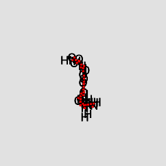 C[C@@H](NC(=O)c1cccc(NC2(C(=N)NC(=N)c3ccncc3)CCNCC2)c1)c1ccc(OCCCCCCOCCOCCOCCC(=O)N2CCN(c3ccc4c(c3)CN(C3CCC(=O)NC3=O)C4=O)CC2)cc1